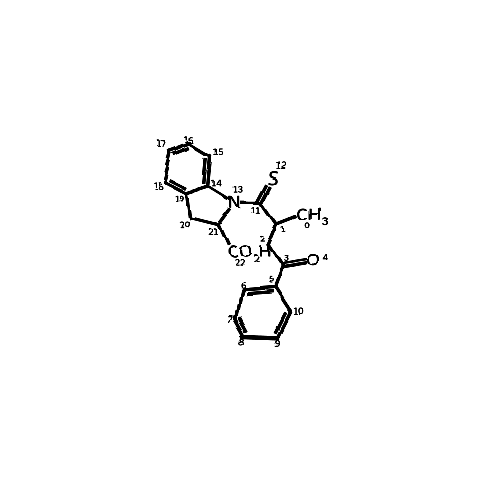 CC(CC(=O)c1ccccc1)C(=S)N1c2ccccc2CC1C(=O)O